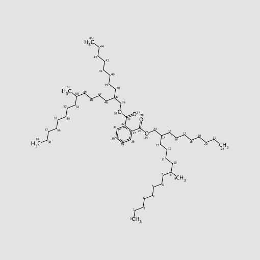 CCCCCCCCC(C)CCCCC(CCCCCCCC)COC(=O)c1ccccc1C(=O)OCC(CCCCCCCC)CCCCC(C)CCCCCCCC